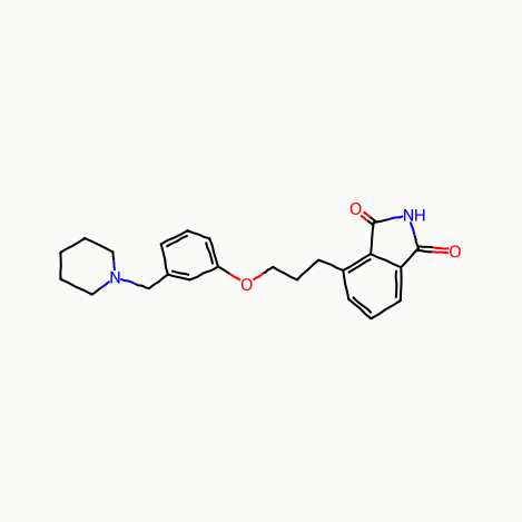 O=C1NC(=O)c2c(CCCOc3cccc(CN4CCCCC4)c3)cccc21